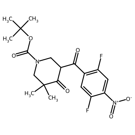 CC(C)(C)OC(=O)N1CC(C(=O)c2cc(F)c([N+](=O)[O-])cc2F)C(=O)C(C)(C)C1